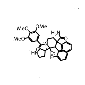 CCC1(C2CCNC2)C(c2ccccc2F)C(C(N)=O)(c2ccccc2)CCN1C(=O)c1cc(OC)c(OC)c(OC)c1